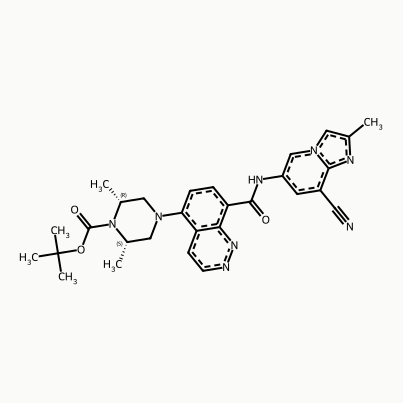 Cc1cn2cc(NC(=O)c3ccc(N4C[C@@H](C)N(C(=O)OC(C)(C)C)[C@@H](C)C4)c4ccnnc34)cc(C#N)c2n1